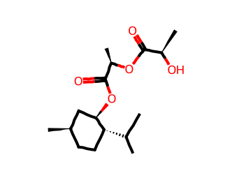 CC(C)[C@@H]1CC[C@@H](C)C[C@H]1OC(=O)[C@@H](C)OC(=O)[C@@H](C)O